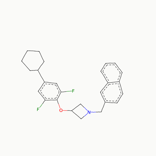 Fc1cc(C2CCCCC2)cc(F)c1OC1CN(Cc2ccc3ccccc3c2)C1